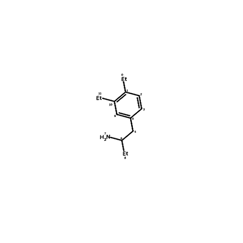 CCc1ccc(CC(N)CC)cc1CC